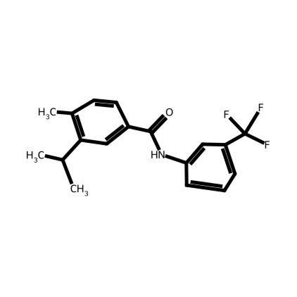 Cc1ccc(C(=O)Nc2cccc(C(F)(F)F)c2)cc1C(C)C